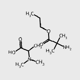 CC(C(=O)O)N(C)C.CCCOC(=O)C(C)(C)N